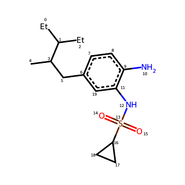 CCC(CC)C(C)Cc1ccc(N)c(NS(=O)(=O)C2CC2)c1